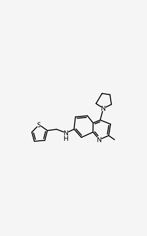 Cc1cc(N2CCCC2)c2ccc(NCc3cccs3)cc2n1